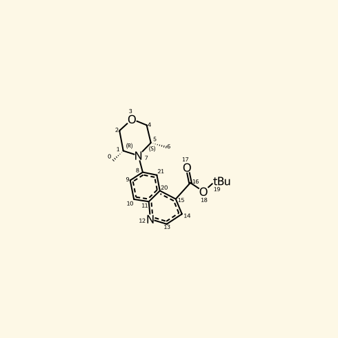 C[C@@H]1COC[C@H](C)N1c1ccc2nccc(C(=O)OC(C)(C)C)c2c1